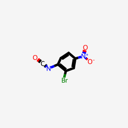 O=C=Nc1ccc([N+](=O)[O-])cc1Br